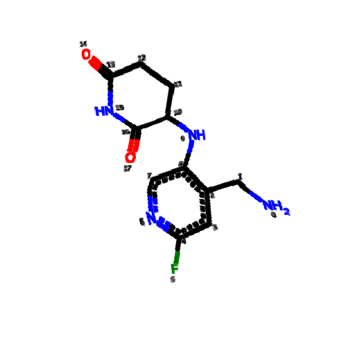 NCc1cc(F)ncc1NC1CCC(=O)NC1=O